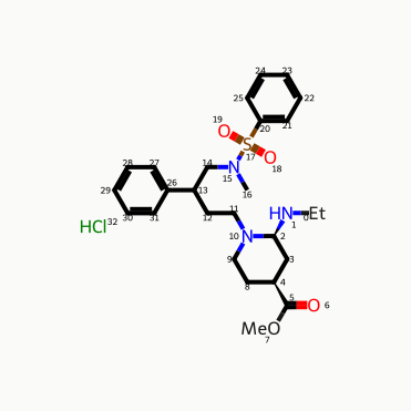 CCN[C@H]1C[C@@H](C(=O)OC)CCN1CCC(CN(C)S(=O)(=O)c1ccccc1)c1ccccc1.Cl